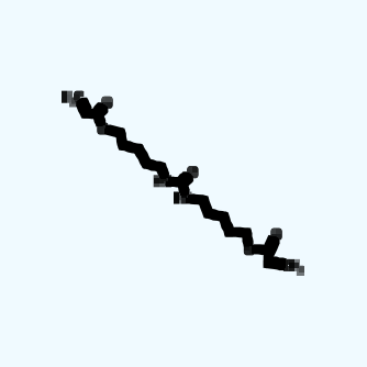 C=CC(=O)OCCCCCNC(=O)NCCCCCOC(=O)C=C